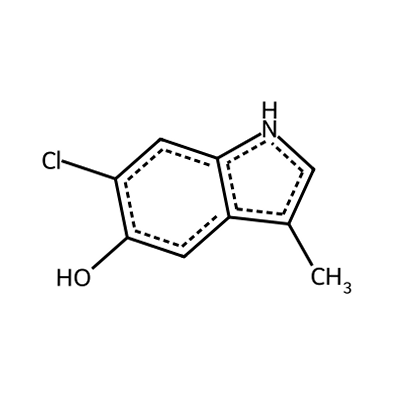 Cc1c[nH]c2cc(Cl)c(O)cc12